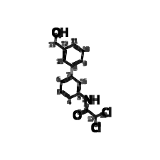 O=C(Nc1cccc(-c2cccc(CO)c2)c1)C(Cl)Cl